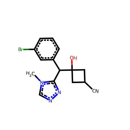 Cn1cnnc1C(c1cccc(Br)c1)C1(O)CC(C#N)C1